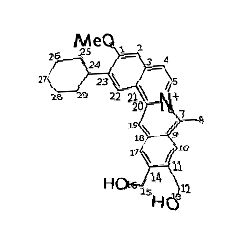 COc1cc2cc[n+]3c(C)c4cc(CO)c(CO)cc4cc3c2cc1C1CCCCC1